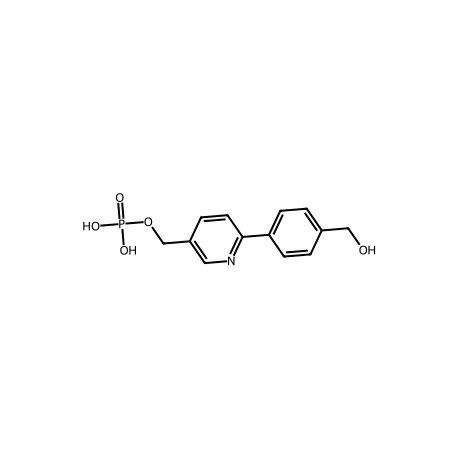 O=P(O)(O)OCc1ccc(-c2ccc(CO)cc2)nc1